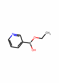 CCOB(O)c1cccnc1